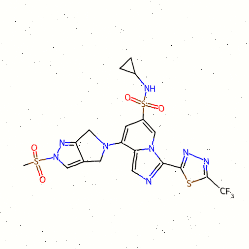 CS(=O)(=O)n1cc2c(n1)CN(c1cc(S(=O)(=O)NC3CC3)cn3c(-c4nnc(C(F)(F)F)s4)ncc13)C2